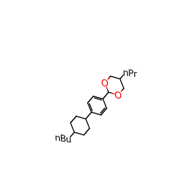 CCCCC1CCC(c2ccc(C3OCC(CCC)CO3)cc2)CC1